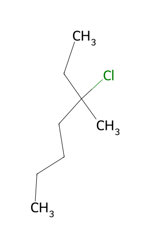 CCCCC(C)(Cl)CC